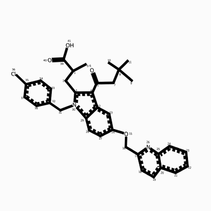 CC(Cc1c(C(=O)CC(C)(C)C)c2cc(OCc3ccc4ccccc4n3)ccc2n1Cc1ccc(Cl)cc1)C(=O)O